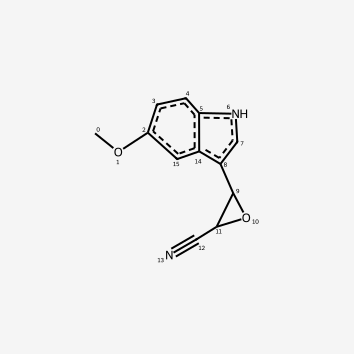 COc1ccc2[nH]cc(C3OC3C#N)c2c1